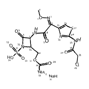 CO/N=C(\C(=O)NC1C(=O)N(S(=O)(=O)O)C1COC(N)=O)c1csc(NC(=O)CCl)n1.[NaH]